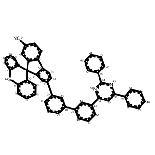 N#Cc1ccc2c(c1)C1(c3ccccc3Sc3ccccc31)c1cc(-c3cccc(-c4cccc(-c5cc(-c6ccccc6)nc(-c6ccccc6)n5)c4)c3)ccc1-2